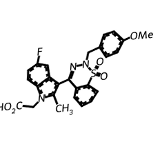 COc1ccc(CN2N=C(c3c(C)n(CC(=O)O)c4ccc(F)cc34)c3ccccc3S2(=O)=O)cc1